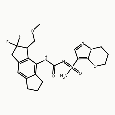 COCC1c2c(cc3c(c2NC(=O)N=S(N)(=O)c2cnn4c2OCCC4)CCC3)CC1(F)F